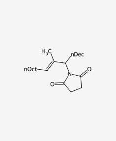 CCCCCCCCC=C(C)C(CCCCCCCCCC)N1C(=O)CCC1=O